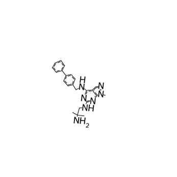 Cn1ncc2c(NCc3ccc(-c4ccccc4)cc3)nc(NCC(C)(C)N)nc21